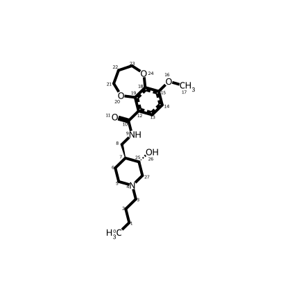 CCCCN1CC[C@@H](CNC(=O)c2ccc(OC)c3c2OCCCO3)[C@H](O)C1